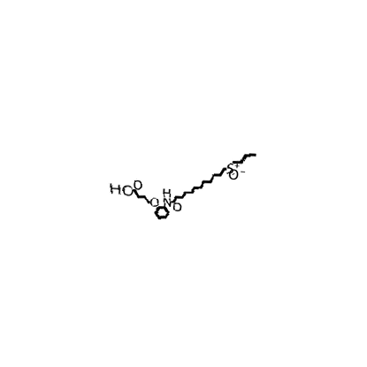 CCCC[S+]([O-])CCCCCCCCCCCC(=O)Nc1ccccc1OCCCC(=O)O